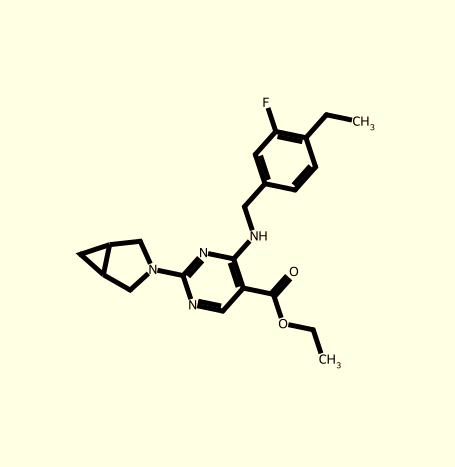 CCOC(=O)c1cnc(N2CC3CC3C2)nc1NCc1ccc(CC)c(F)c1